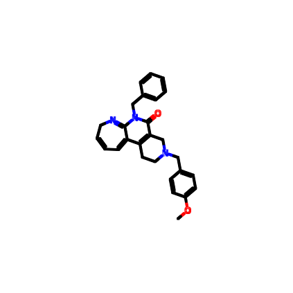 COc1ccc(CN2CCc3c(c(=O)n(Cc4ccccc4)c4c3=CC=CCN=4)C2)cc1